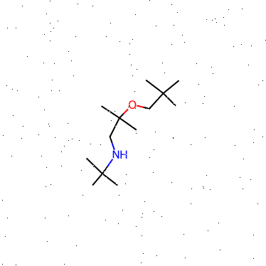 CC(C)(C)COC(C)(C)CNC(C)(C)C